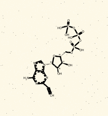 C#Cc1nc(N)c2ncn([C@@H]3O[C@H](COP(=O)(O)OP(=O)(O)OP(=O)(O)O)[C@@H](O)[C@H]3O)c2n1